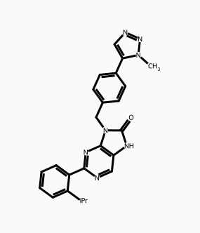 CC(C)c1ccccc1-c1ncc2[nH]c(=O)n(Cc3ccc(-c4cnnn4C)cc3)c2n1